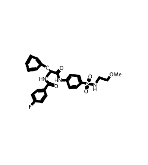 COCCNS(=O)(=O)c1ccc(NC(=O)[C@H](Cc2ccccc2)NC(=O)c2ccc(F)cc2)cc1